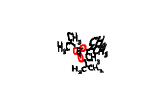 CC(C)COB(OCC(C)C)OC(C)C(C)C